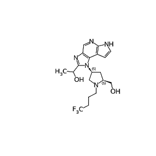 CC(O)c1nc2cnc3[nH]ccc3c2n1[C@H]1C[C@@H](CO)N(CCCC(F)(F)F)C1